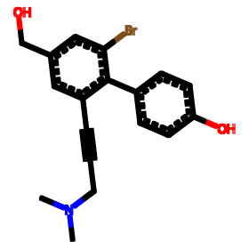 CN(C)CC#Cc1cc(CO)cc(Br)c1-c1ccc(O)cc1